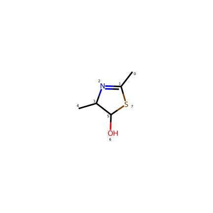 CC1=NC(C)C(O)S1